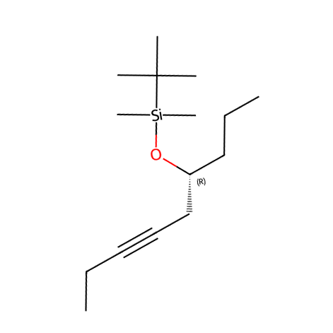 CCC#CC[C@@H](CCC)O[Si](C)(C)C(C)(C)C